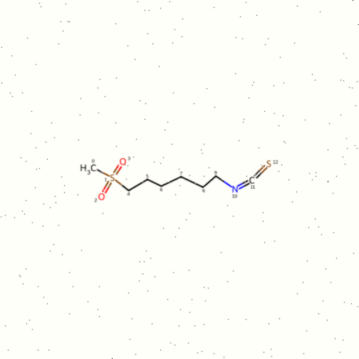 CS(=O)(=O)CCCCCCN=C=S